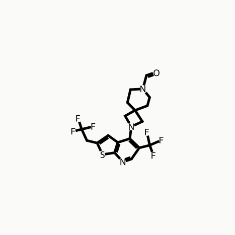 O=CN1CCC2(CC1)CN(c1c(C(F)(F)F)cnc3sc(CC(F)(F)F)cc13)C2